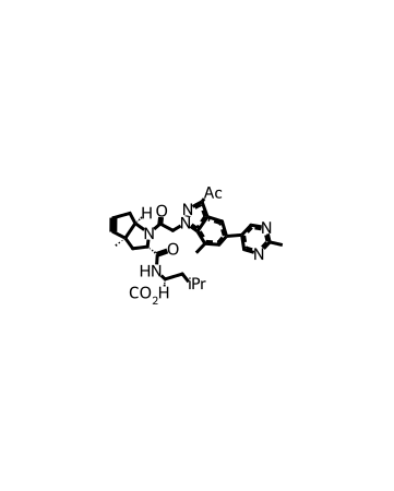 CC(=O)c1nn(CC(=O)N2[C@H](C(=O)N[C@H](CC(C)C)C(=O)O)C[C@@]3(C)C#CC[C@@H]23)c2c(C)cc(-c3cnc(C)nc3)cc12